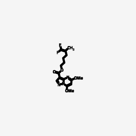 COc1cc(OC)n2ncc(C(=O)OCCCCC(C)=C(F)F)c2n1